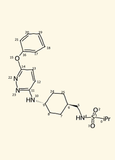 CC(C)S(=O)(=O)NC[C@H]1CC[C@H](Nc2ccc(Oc3ccccc3)nn2)CC1